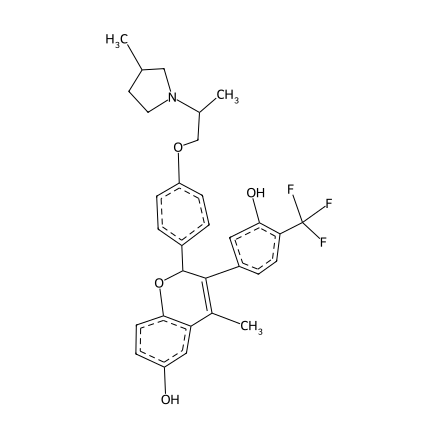 CC1=C(c2ccc(C(F)(F)F)c(O)c2)C(c2ccc(OCC(C)N3CCC(C)C3)cc2)Oc2ccc(O)cc21